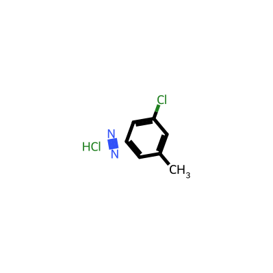 Cc1cccc(Cl)c1.Cl.N#N